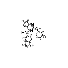 Cc1cccc(Nc2nc(Nc3ccc4[nH]ncc4c3)c3sccc3n2)c1